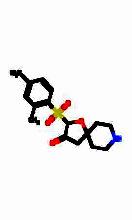 Cc1ccc(S(=O)(=O)C2OC3(CCNCC3)CC2=O)c(C)c1